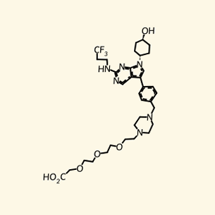 O=C(O)COCCOCCOCCN1CCN(Cc2ccc(-c3cn([C@H]4CC[C@H](O)CC4)c4nc(NCCC(F)(F)F)ncc34)cc2)CC1